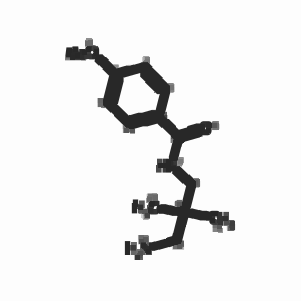 COc1ccc(C(=O)NCC(C)(C)CN)cc1